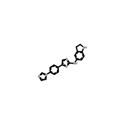 c1cn(-c2ccc(-c3csc(Nc4ccc5c(c4)CCN5)n3)cc2)cn1